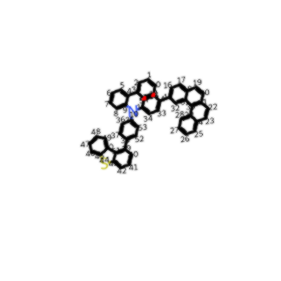 c1ccc(-c2ccccc2N(c2ccc(-c3ccc4ccc5ccc6ccccc6c5c4c3)cc2)c2ccc(-c3cccc4sc5ccccc5c34)cc2)cc1